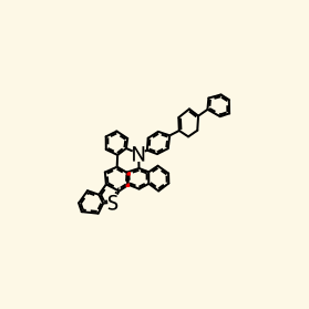 C1=C(c2ccccc2)CCC(c2ccc(N(c3ccccc3-c3ccc4sc5ccccc5c4c3)c3cccc4ccccc34)cc2)=C1